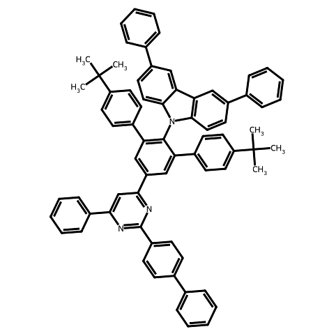 CC(C)(C)c1ccc(-c2cc(-c3cc(-c4ccccc4)nc(-c4ccc(-c5ccccc5)cc4)n3)cc(-c3ccc(C(C)(C)C)cc3)c2-n2c3ccc(-c4ccccc4)cc3c3cc(-c4ccccc4)ccc32)cc1